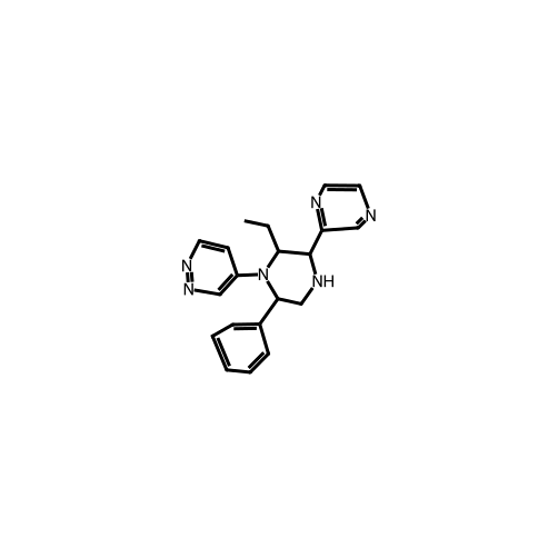 CCC1C(c2cnccn2)NCC(c2ccccc2)N1c1ccnnc1